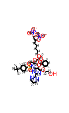 COc1ccccc1Oc1c(OCCO)nc(-c2ncccn2)nc1N(C(C)(C)OC(=O)OCCCCCC(CO[N+](=O)[O-])O[N+](=O)[O-])S(=O)(=O)c1ccc(C(C)(C)C)cc1